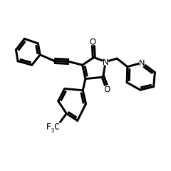 O=C1C(C#Cc2ccccc2)=C(c2ccc(C(F)(F)F)cc2)C(=O)N1Cc1ccccn1